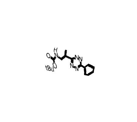 CC(CNC(=O)OC(C)(C)C)c1nnc(-c2ccccc2)nn1